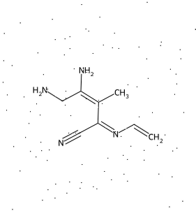 C=C/N=C(C#N)\C(C)=C(\N)CN